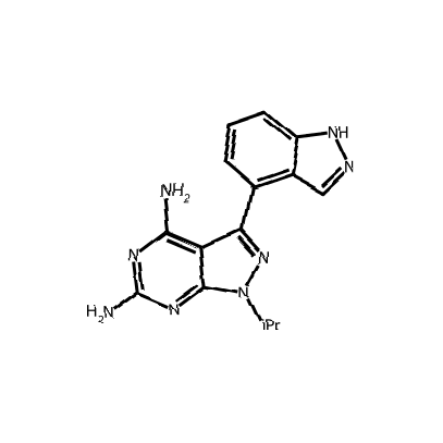 CC(C)n1nc(-c2cccc3[nH]ncc23)c2c(N)nc(N)nc21